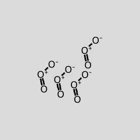 O=[O+][O-].O=[O+][O-].O=[O+][O-].O=[O+][O-]